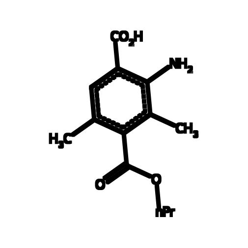 CCCOC(=O)c1c(C)cc(C(=O)O)c(N)c1C